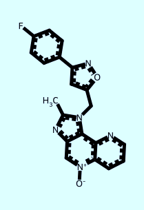 Cc1nc2c[n+]([O-])c3cccnc3c2n1Cc1cc(-c2ccc(F)cc2)no1